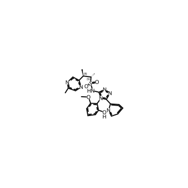 COc1cccc(O)c1-n1c(NS(=O)(=O)[C@@H](C)[C@H](C)c2cnc(C)cn2)nnc1C1=C=C=CC=N1